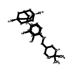 CC1(C)OCC(COc2ccc([C@]34CC5C[C@H](C[C@@H](C5)C3)C4)c(F)c2F)CO1